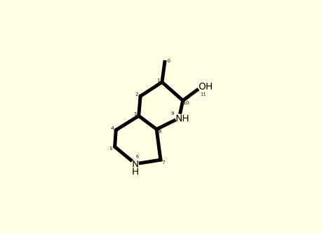 CC1CC2CCNCC2NC1O